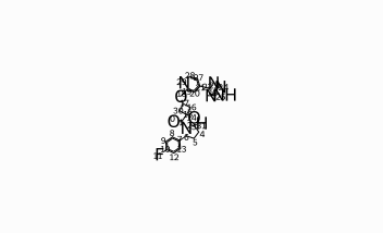 O=C1N2[C@@H](CC[C@H]2c2ccc(F)cc2)OC12CC(Oc1cc(-c3nn[nH]n3)ccn1)C2